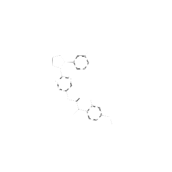 CCc1cc([S+](C)[O-])ccc1C(C)C(=O)Nc1cnc(N2CCCC2c2cccc(Cl)c2)nc1